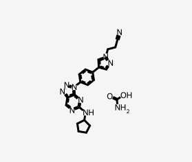 N#CCCn1cc(-c2ccc(-n3nnc4cnc(NC5CCCC5)nc43)cc2)cn1.NC(=O)O